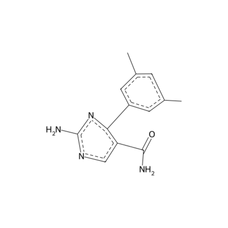 Cc1cc(C)cc(-c2nc(N)ncc2C(N)=O)c1